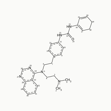 CN(C)CCN(CCc1ccc(NC(=O)NC2=CCCC=C2)cc1)c1ncnc2ccccc12